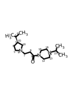 CC(C)[C@@H]1CCN(CCC(=O)N2CCN(C(C)C)CC2)C1